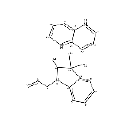 C=CCN1c2ccccc2C(C)(C)C1C.c1ccc2ncccc2c1